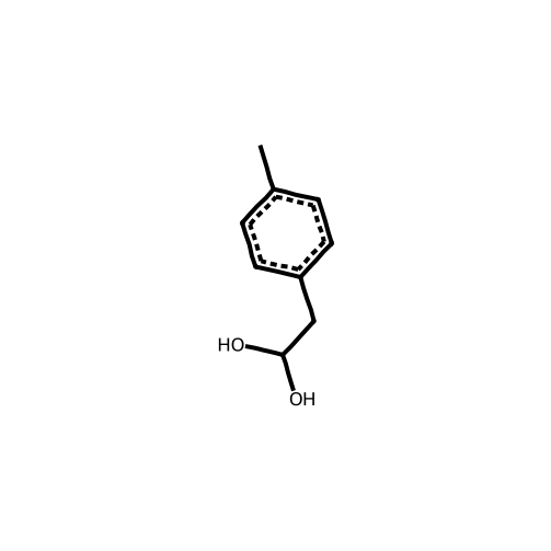 Cc1ccc(CC(O)O)cc1